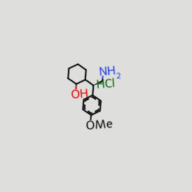 COc1ccc([C@H](CN)C2CCCC[C@@H]2O)cc1.Cl